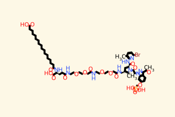 CC(=O)c1nn(CC(=O)N2[C@H](C)[C@@H](CNC(=O)COCCOCCNC(=O)COCCOCCNC(=O)CC[C@H](NC(=O)CCCCCCCCCCCCCCCCC(=O)O)C(=O)O)C[C@H]2C(=O)Nc2nc(Br)ccc2C)c2cc(OCP(=O)(O)O)ccc12